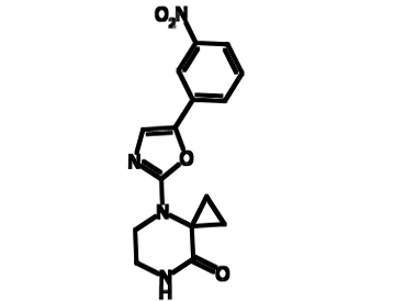 O=C1NCCN(c2ncc(-c3cccc([N+](=O)[O-])c3)o2)C12CC2